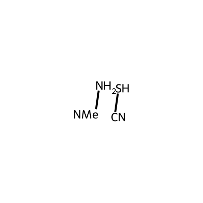 CNN.N#CS